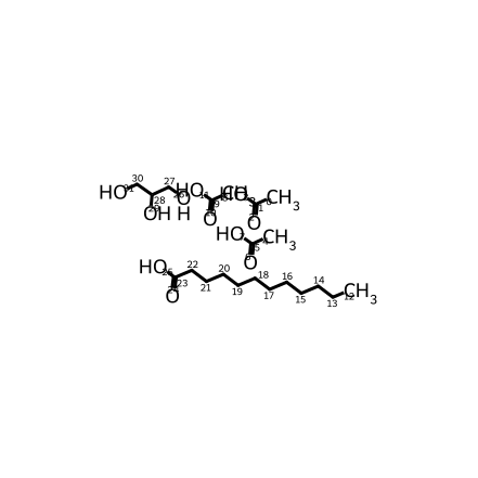 CC(=O)O.CC(=O)O.CC(=O)O.CCCCCCCCCCCC(=O)O.OCC(O)CO